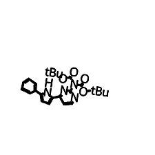 CC(C)(C)OC(=O)N(C(=O)OC(C)(C)C)c1nccc(-c2ccc(-c3ccccc3)[nH]2)n1